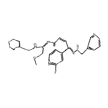 C=C(/C=C\C(=N/NCc1cccnc1)c1ccnc(F)c1)/N=C(\COC)NCC1CCOCC1